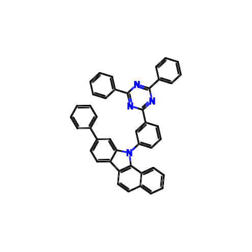 c1ccc(-c2ccc3c4ccc5ccccc5c4n(-c4cccc(-c5nc(-c6ccccc6)nc(-c6ccccc6)n5)c4)c3c2)cc1